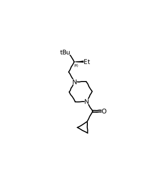 CC[C@@H](CN1CCN(C(=O)C2CC2)CC1)C(C)(C)C